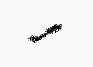 O=C1CCC(N2C(=O)c3cccc(OCCOCCOCCOCCCCCCCCNC(=O)c4cc5cc(N6CCC(O)(C(=O)NCc7cc(F)cc(F)c7)C6=O)ccc5[nH]4)c3C2=O)C(=O)N1